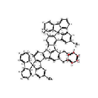 CC(C)(C)c1ccc2c(c1)-c1c(c(C#N)cc3c1c1cc4c(c5c6c7c(c(C#N)cc6n3c15)C1(c3ccccc3-c3ccccc31)c1ccc(C(C)(C)C)cc1-7)C1c3ccccc3C4c3ccccc31)C21c2ccccc2-c2ccccc21